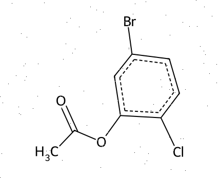 CC(=O)Oc1cc(Br)ccc1Cl